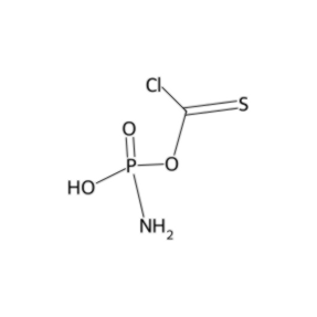 NP(=O)(O)OC(=S)Cl